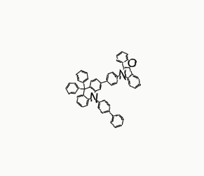 c1ccc(-c2ccc(N3c4ccccc4C(c4ccccc4)(c4ccccc4)c4ccc(-c5ccc(-n6c7ccccc7c7oc8ccccc8c76)cc5)cc43)cc2)cc1